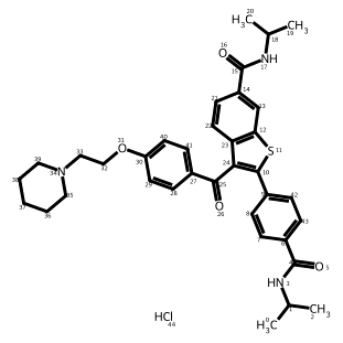 CC(C)NC(=O)c1ccc(-c2sc3cc(C(=O)NC(C)C)ccc3c2C(=O)c2ccc(OCCN3CCCCC3)cc2)cc1.Cl